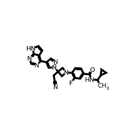 CC(NC(=O)c1ccc(N2CC(CC#N)(n3cc(-c4ncnc5[nH]ccc45)cn3)C2)c(F)c1)C1CC1